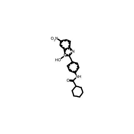 O=C(Nc1ccc(-c2nc3ccc([N+](=O)[O-])cc3n2O)cc1)C1CCCCC1